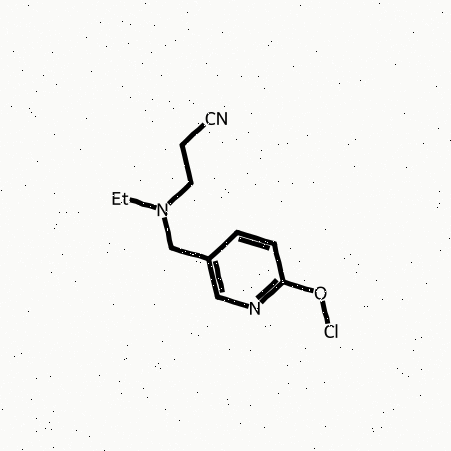 CCN(CCC#N)Cc1ccc(OCl)nc1